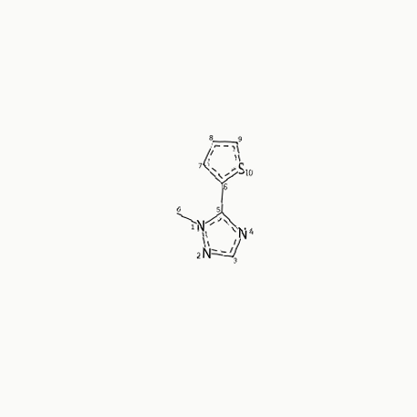 Cn1ncnc1-c1cccs1